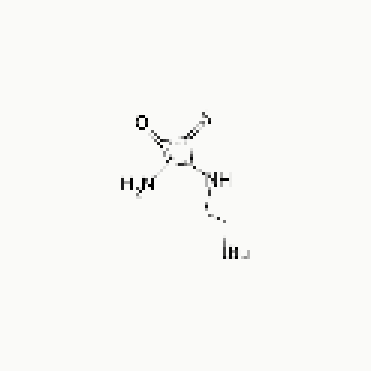 CC(C)(C)CCNc1c(N)c(=O)c1=S